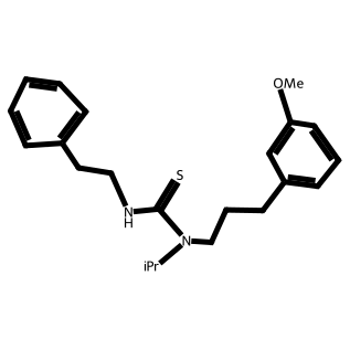 COc1cccc(CCCN(C(=S)NCCc2ccccc2)C(C)C)c1